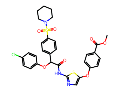 COC(=O)c1ccc(Oc2cnc(NC(=O)C(Oc3ccc(Cl)cc3)c3ccc(S(=O)(=O)N4CCCCC4)cc3)s2)cc1